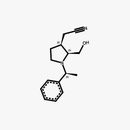 C[C@@H](c1ccccc1)N1CC[C@@H](CC#N)[C@H]1CO